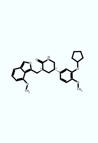 COc1ccc([C@H]2CNC(=O)[C@H](Cc3occ4cccc(OC)c34)C2)cc1OC1CCCC1